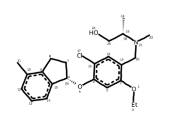 CCOc1cc(O[C@H]2CCc3c(C)cccc32)c(Cl)cc1CN(C)[C@@H](C)CO